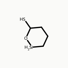 SC1CCC[SiH2]O1